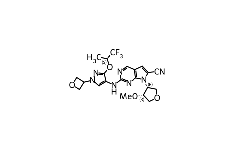 CO[C@H]1COC[C@H]1n1c(C#N)cc2cnc(Nc3cn(C4COC4)nc3O[C@@H](C)C(F)(F)F)nc21